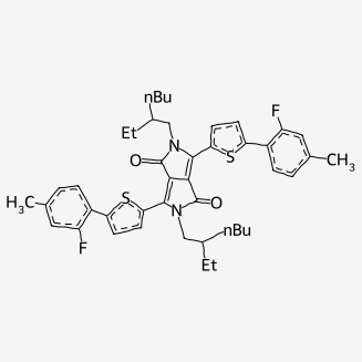 CCCCC(CC)CN1C(=O)C2=C(c3ccc(-c4ccc(C)cc4F)s3)N(CC(CC)CCCC)C(=O)C2=C1c1ccc(-c2ccc(C)cc2F)s1